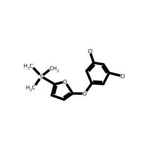 CS(C)(C)c1ccc(Oc2cc(Cl)cc(Cl)c2)o1